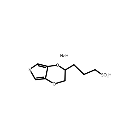 O=S(=O)(O)CCCC1COc2cscc2O1.[NaH]